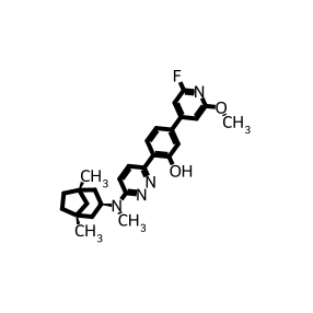 COc1cc(-c2ccc(-c3ccc(N(C)[C@H]4C[C@]5(C)CC[C@](C)(C4)C5)nn3)c(O)c2)cc(F)n1